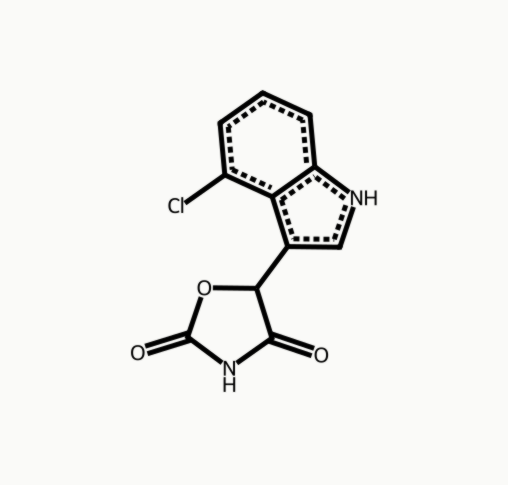 O=C1NC(=O)C(c2c[nH]c3cccc(Cl)c23)O1